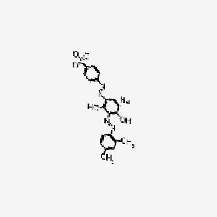 Cc1ccc(/N=N/c2c(O)ccc(/N=N/c3ccc(S(=O)(=O)[O-])cc3)c2O)c(C)c1.[Na+]